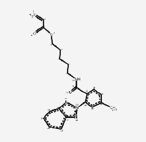 C=CC(=O)OCCCCCNC(=O)c1ccc(C)cc1-n1nc2ccccc2n1